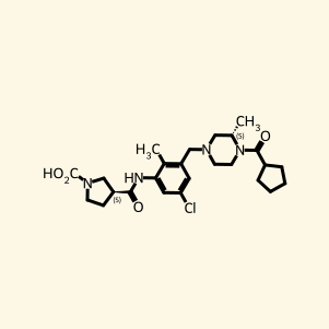 Cc1c(CN2CCN(C(=O)C3CCCC3)[C@@H](C)C2)cc(Cl)cc1NC(=O)[C@H]1CCN(C(=O)O)C1